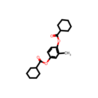 Cc1cc(OC(=O)C2CCCCC2)ccc1OC(=O)C1CCCCC1